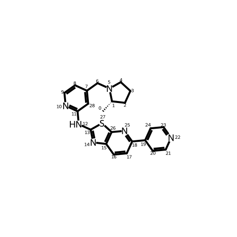 C[C@H]1CCCN1Cc1ccnc(Nc2nc3ccc(-c4ccncc4)nc3s2)c1